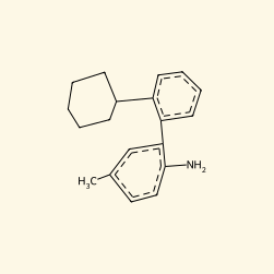 Cc1ccc(N)c(-c2ccccc2C2CCCCC2)c1